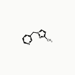 Cc1[c]cn(Cc2cccnc2)n1